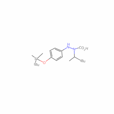 CCC(C)C(C)N(Nc1ccc(O[Si](C)(C)C(C)(C)C)cc1)C(=O)O